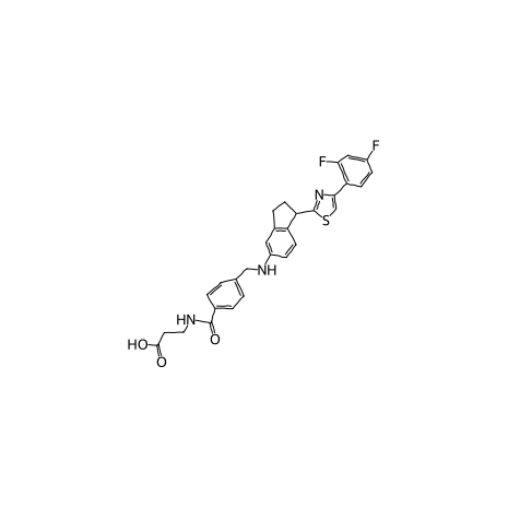 O=C(O)CCNC(=O)c1ccc(CNc2ccc3c(c2)CCC3c2nc(-c3ccc(F)cc3F)cs2)cc1